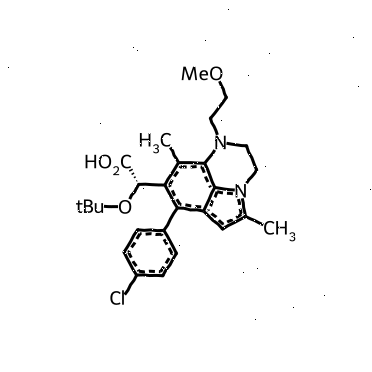 COCCN1CCn2c(C)cc3c(-c4ccc(Cl)cc4)c([C@H](OC(C)(C)C)C(=O)O)c(C)c1c32